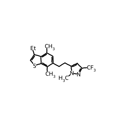 CCc1csc2c(C)c(CCc3cc(C(F)(F)F)nn3C)cc(C)c12